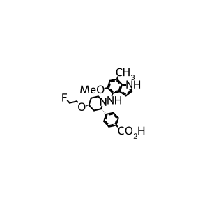 COc1cc(C)c2[nH]ccc2c1NN1CC[C@@H](OCCF)C[C@H]1c1ccc(C(=O)O)cc1